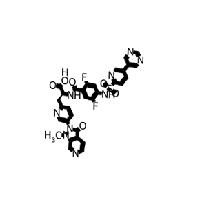 Cn1c2cnccc2c(=O)n1-c1ccc(C[C@H](NC(=O)c2cc(F)c(NS(=O)(=O)c3ccc(-c4cncnc4)cn3)cc2F)C(=O)O)nc1